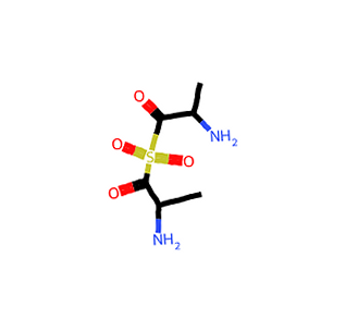 CC(N)C(=O)S(=O)(=O)C(=O)C(C)N